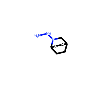 NNN1CC2CCC1CC2